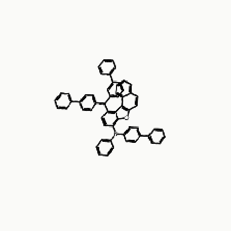 c1ccc(-c2ccc(C(c3cccc(-c4ccccc4)c3)c3ccc(N(c4ccccc4)c4ccc(-c5ccccc5)cc4)c4oc5ccc6ccccc6c5c34)cc2)cc1